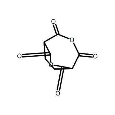 O=C1OC(=O)C2CCC1C(=O)OC2=O